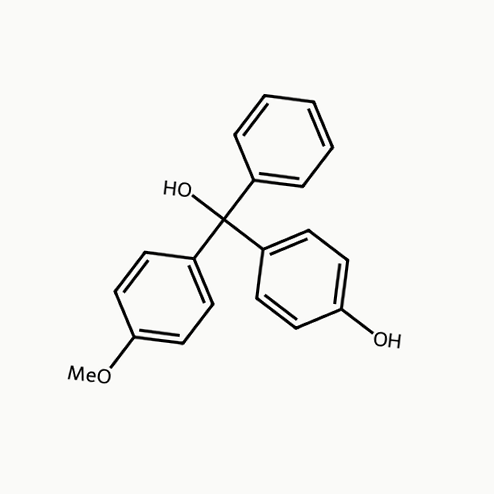 COc1ccc(C(O)(c2ccccc2)c2ccc(O)cc2)cc1